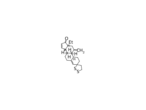 C=C1C[C@]2(CC)C(=O)C=C[C@H]2[C@@H]2CCC3=CC4(CCSS4)CC[C@@H]3[C@@H]12